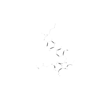 CCCCN(C)Cc1ccc(-c2ccc(Cn3c(OC)nc4c(N)nc(OCCOC)nc43)c(Cl)c2)cc1